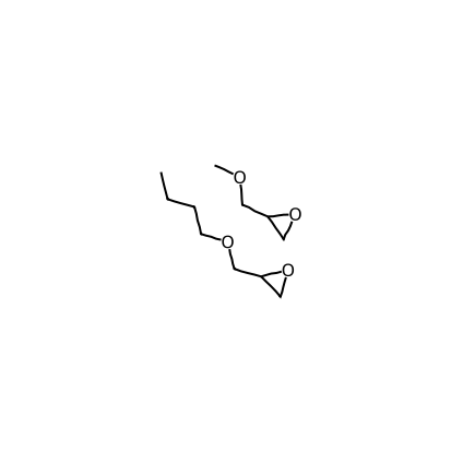 CCCCOCC1CO1.COCC1CO1